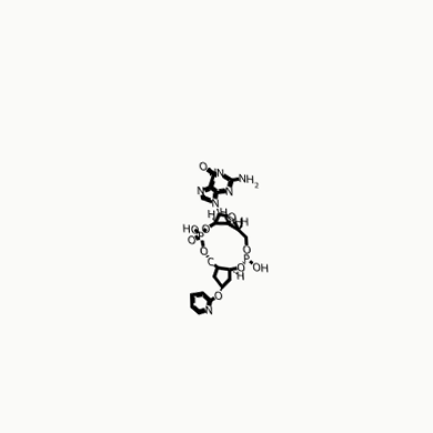 Nc1nc2c(ncn2[C@@H]2O[C@@H]3COP(O)O[C@H]4C[C@H](Oc5ccccn5)CC4COP(=O)(O)O[C@@H]2[C@@H]3O)c(=O)[nH]1